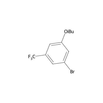 C[C](C)COc1cc(Br)cc(C(F)(F)F)c1